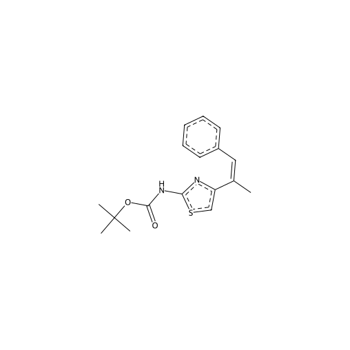 CC(=Cc1ccccc1)c1csc(NC(=O)OC(C)(C)C)n1